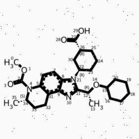 COC(=O)N1c2ccc3c(nc([C@@H](C)OC4CCCCC4)n3[C@@H]3CCC[C@@H](C(=O)O)C3)c2CC[C@@H]1C